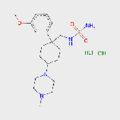 COc1cccc(C2(CNS(N)(=O)=O)CCC(N3CCN(C)CC3)CC2)c1.Cl.Cl